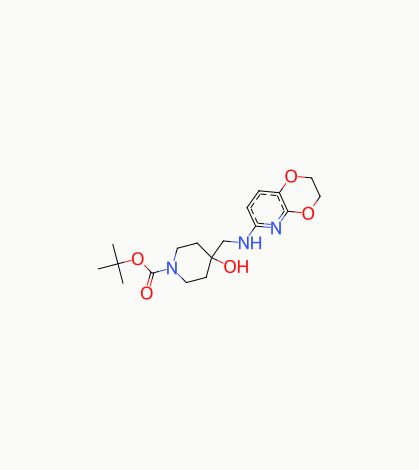 CC(C)(C)OC(=O)N1CCC(O)(CNc2ccc3c(n2)OCCO3)CC1